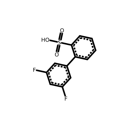 O=S(=O)(O)c1ccccc1-c1cc(F)cc(F)c1